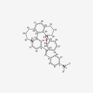 CN(C)c1ccc(/C=C/c2cc[n+]3c(c2)-c2c(ccc4c2[N+]2(C=Cc5ccccc52)CCC4)CCC3)cc1